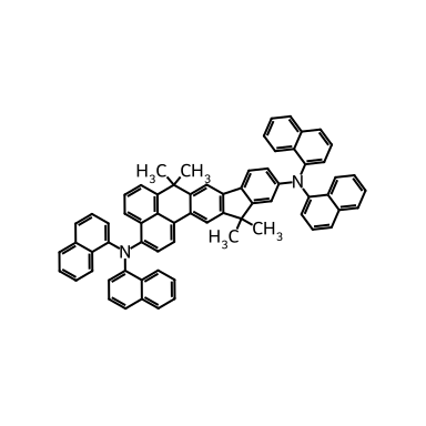 CC1(C)c2cc(N(c3cccc4ccccc34)c3cccc4ccccc34)ccc2-c2cc3c(cc21)-c1ccc(N(c2cccc4ccccc24)c2cccc4ccccc24)c2cccc(c12)C3(C)C